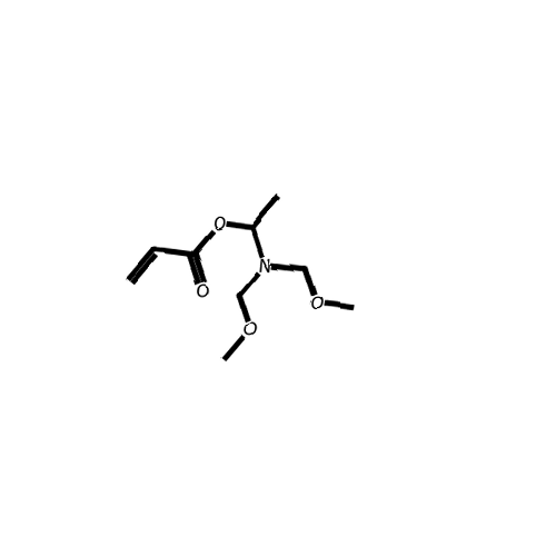 C=CC(=O)OC(C)N(COC)COC